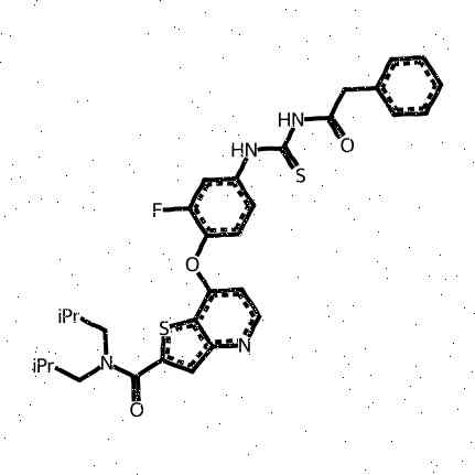 CC(C)CN(CC(C)C)C(=O)c1cc2nccc(Oc3ccc(NC(=S)NC(=O)Cc4ccccc4)cc3F)c2s1